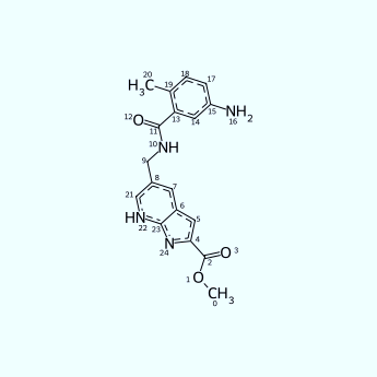 COC(=O)c1cc2cc(CNC(=O)c3cc(N)ccc3C)c[nH]c-2n1